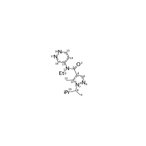 CCN(C(=O)c1cnn(C(C)C(C)C)c1C)c1ccnnc1